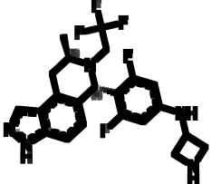 C[C@@H]1Cc2c(ccc3[nH]ncc23)[C@@H](c2c(F)cc(NC3CNC3)cc2F)N1CC(F)(F)F